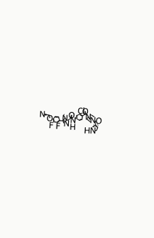 Cn1c(-c2ccc(OCC#N)c(F)c2F)cnc1C(=O)Nc1ccc(C(=O)N2CCN(C(=O)[C@H]3CCNC3)CC2)c(Cl)c1